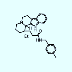 CC[C@]1(CCC(=O)NCc2ccc(C)cc2)CCCN2CCc3c([nH]c4ccccc34)[C@@H]21